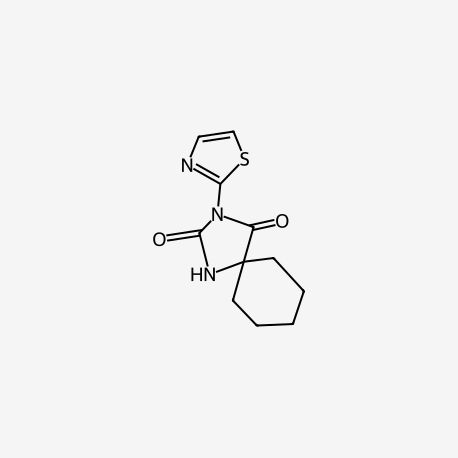 O=C1NC2(CCCCC2)C(=O)N1c1nccs1